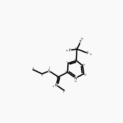 CCS/C(=N/C)c1cc(C(F)(F)F)ccn1